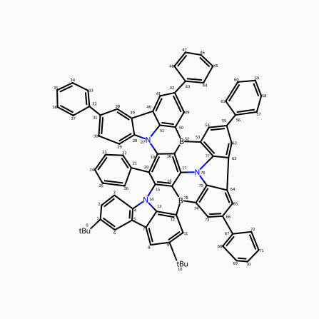 CC(C)(C)c1ccc2c(c1)c1cc(C(C)(C)C)cc3c1n2-c1c2c4c5c(c1-c1ccccc1)-n1c6ccc(-c7ccccc7)cc6c6cc(-c7ccccc7)cc(c61)B5c1cc(-c5ccccc5)cc5c6cc(-c7ccccc7)cc(c6n-4c15)B23